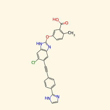 Cc1ccc(Oc2nc3cc(C#Cc4ccc(-c5ncc[nH]5)cc4)c(Cl)cc3[nH]2)cc1C(=O)O